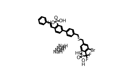 O=P(O)(O)c1cc(-c2ccc(CSCc3ccc(C(F)(F)P(=O)(O)O)c(Br)c3)cc2)ccc1/C=C/c1ccccc1.[NaH].[NaH].[NaH].[NaH]